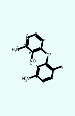 Cc1ccc(N)cc1Oc1ccnc(N)c1N=O